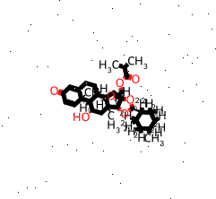 [2H]C1([2H])C([2H])([2H])C([2H])([C@@H]2O[C@@H]3C[C@H]4[C@@H]5CCC6=CC(=O)C=C[C@]6(C)[C@H]5[C@@H](O)C[C@]4(C)[C@]3(C(=O)COC(=O)C(C)C)O2)C([2H])([2H])C([2H])([2H])C1([2H])C